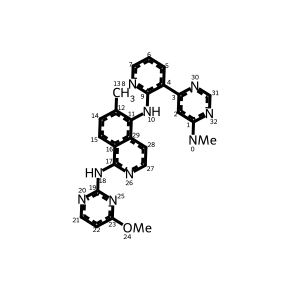 CNc1cc(-c2cccnc2Nc2c(C)ccc3c(Nc4nccc(OC)n4)nccc23)ncn1